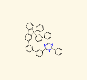 C1=CC2=C(CC1)c1ccc(-c3cccc(-c4cccc(-c5nc(-c6ccccc6)nc(-c6ccccc6)n5)c4)c3)cc1C2(c1ccccc1)c1ccccc1